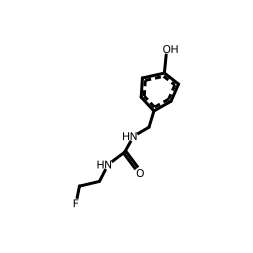 O=C(NCCF)NCc1ccc(O)cc1